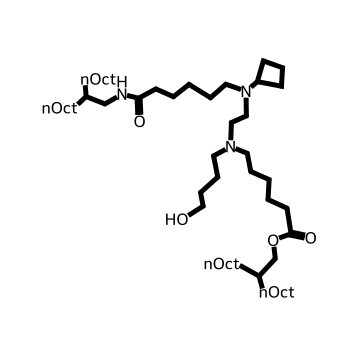 CCCCCCCCC(CCCCCCCC)CNC(=O)CCCCCN(CCN(CCCCO)CCCCCC(=O)OCC(CCCCCCCC)CCCCCCCC)C1CCC1